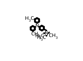 CC[N+](CC)(CC)Cc1ccc(N(c2cccc(C)c2)c2cccc(C)c2)cc1